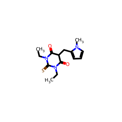 CCN1C(=O)C(Cc2cccn2C)C(=O)N(CC)C1=S